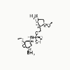 B[C@H]1C[C@@H](NP(=O)(S)OC[C@H]2O[C@@H](B)C[C@H]2OC)[C@@H](CC)O1